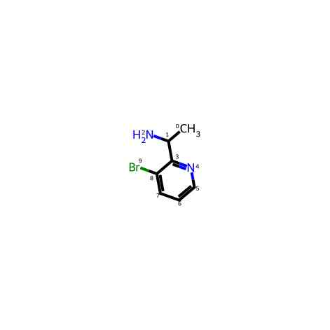 CC(N)c1ncccc1Br